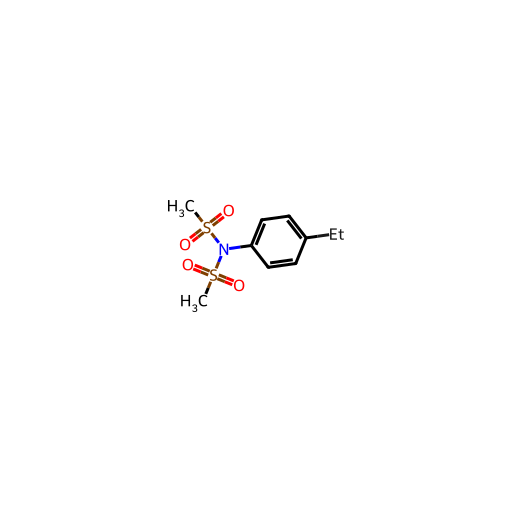 CCc1ccc(N(S(C)(=O)=O)S(C)(=O)=O)cc1